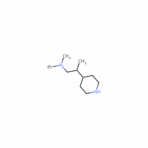 CC(CN(C)C(C)C)C1CCNCC1